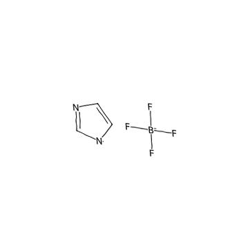 C1=CN=C[N]1.F[B-](F)(F)F